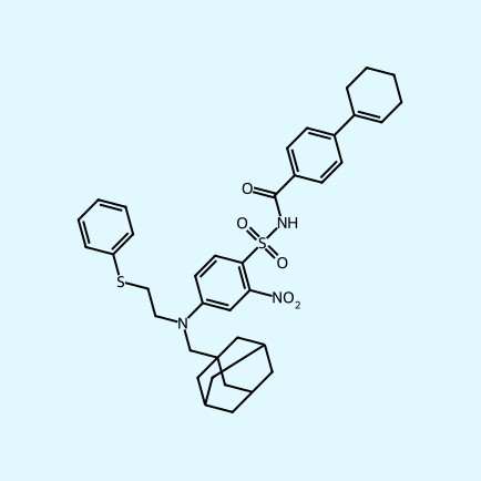 O=C(NS(=O)(=O)c1ccc(N(CCSc2ccccc2)CC23CC4CC(CC(C4)C2)C3)cc1[N+](=O)[O-])c1ccc(C2=CCCCC2)cc1